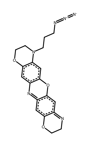 [N-]=[N+]=NCCCN1CCOc2cc3c(cc21)Oc1cc2c(cc1=N3)OCCN=2